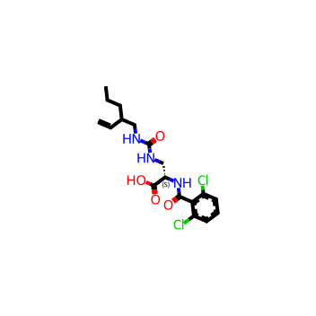 C=CC(CCC)CNC(=O)NC[C@H](NC(=O)c1c(Cl)cccc1Cl)C(=O)O